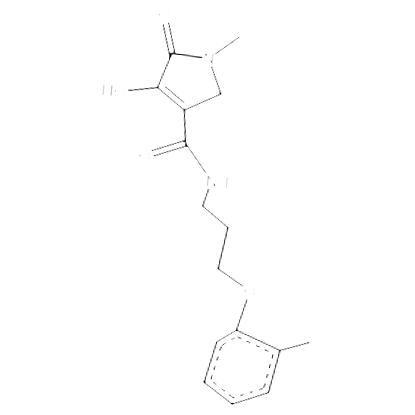 Cc1ccccc1OCCCNC(=O)C1=C(O)C(=O)N(C)C1